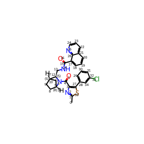 Cc1nc(C(=O)N2[C@@H]3CC[C@@H](C3)[C@H]2CNC(=O)c2cccc3cccnc23)c(-c2cccc(Cl)c2)s1